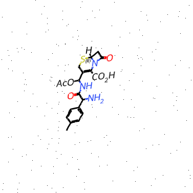 CC(=O)OC(NC(=O)C(N)c1ccc(C)cc1)C1=C(C(=O)O)N2C(=O)C[C@H]2SC1